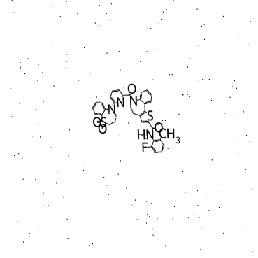 Cc1cccc(F)c1NC(=O)c1cc2c(s1)-c1ccccc1N(C(=O)c1cccc(N3CCCS(=O)(=O)c4ccccc43)n1)CC2